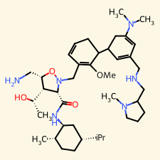 COC1=C(CN2O[C@@H](CN)[C@@H]([C@H](C)O)[C@H]2C(=O)N[C@H]2C[C@H](C(C)C)CC[C@@H]2C)C=CCC1C1C=C(CNCC2CCCN2C)C=C(N(C)C)C1